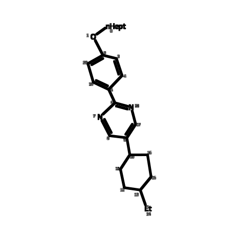 CCCCCCCOc1ccc(-c2ncc(C3CCC(CC)CC3)cn2)cc1